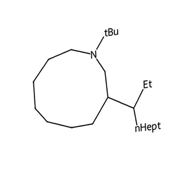 CCCCCCCC(CC)C1CCCCCCCN(C(C)(C)C)C1